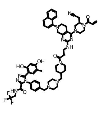 C=CC(=O)N1CCN(c2nc(NCCC(=O)N3CCC(CN4CCN(Cc5ccc(-n6c(C(=O)NCC(F)(F)F)nnc6-c6cc(C)c(O)cc6O)cc5)CC4)CC3)nc3c2CCN(c2cccc4ccccc24)C3)CC1CC#N